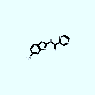 Nc1ccc2sc(NC(=O)c3cnccn3)nc2c1